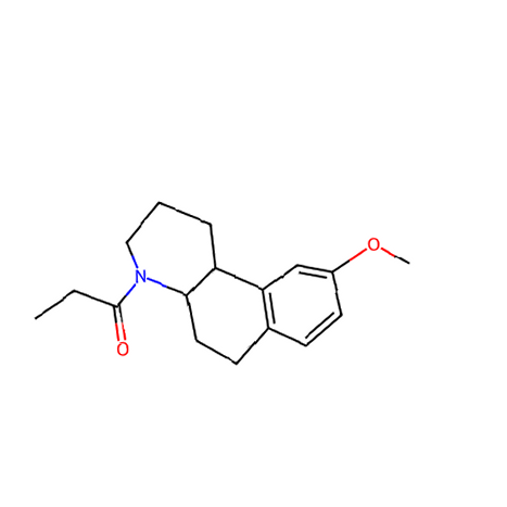 CCC(=O)N1CCCC2c3cc(OC)ccc3CCC21